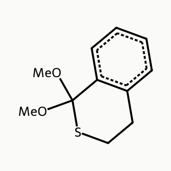 COC1(OC)SCCc2ccccc21